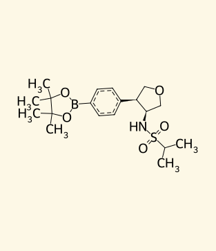 CC(C)S(=O)(=O)N[C@@H]1COC[C@@H]1c1ccc(B2OC(C)(C)C(C)(C)O2)cc1